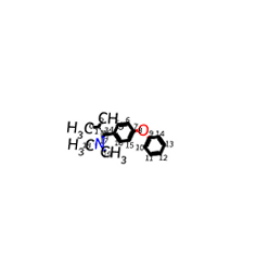 CC(C)[C@H](c1ccc(Oc2ccccc2)cc1)N(C)C